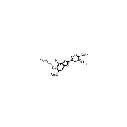 COC(=O)[C@@H](C)CC(=O)c1cc2c(F)c(OCCCO)c(OC)cc2s1